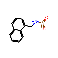 O=[SH](=O)NCc1cccc2ccccc12